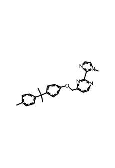 Cc1ccc(C(C)(C)c2ccc(OCc3ccnc(-c4nccn4C)n3)cc2)cc1